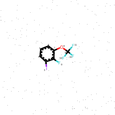 Fc1c(I)cccc1OC(F)(F)F